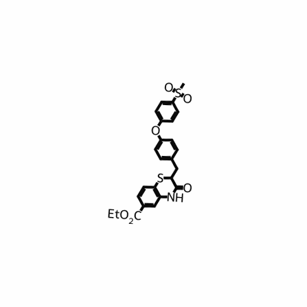 CCOC(=O)c1ccc2c(c1)NC(=O)C(Cc1ccc(Oc3ccc(S(C)(=O)=O)cc3)cc1)S2